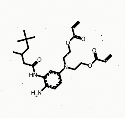 C=CC(=O)OCCN(CCOC(=O)C=C)c1ccc(N)c(NC(=O)CC(C)CC(C)(C)C)c1